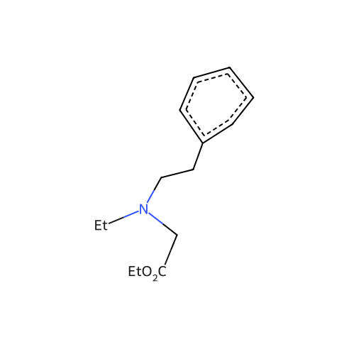 CCOC(=O)CN(CC)CCc1ccccc1